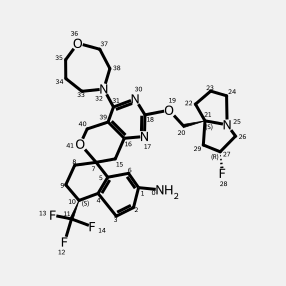 Nc1ccc2c(c1)C1(CC[C@@H]2C(F)(F)F)Cc2nc(OC[C@@]34CCCN3C[C@H](F)C4)nc(N3CCCOCC3)c2CO1